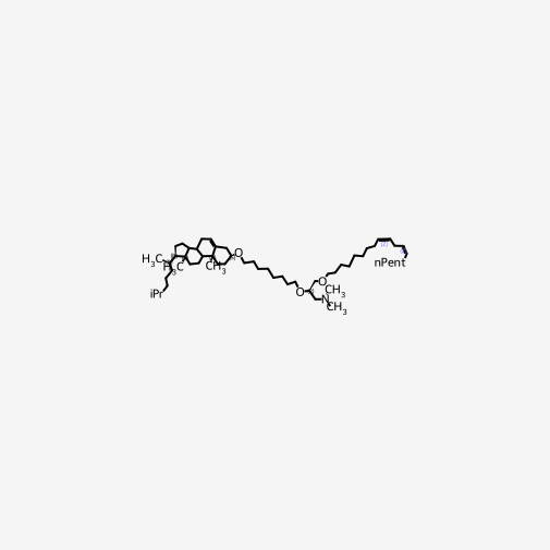 CCCCC/C=C\C/C=C\CCCCCCCCOC[C@@H](CN(C)C)OCCCCCCCCO[C@H]1CC[C@@]2(C)C(=CCC3C2CC[C@@]2(C)C3CC[C@@H]2[C@H](C)CCCC(C)C)C1